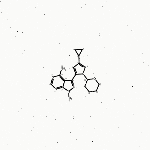 CC(C)n1nc(-c2cc(C3CC3)nn2C2CCCCO2)c2c(N)ncnc21